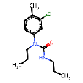 CCCNC(=O)N(CCC)c1ccc(C)c(Cl)c1